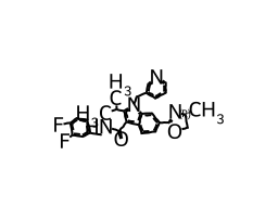 CC(C)c1c(C(=O)NCc2ccc(F)c(F)c2)c2ccc(C3=N[C@H](C)CO3)cc2n1Cc1cccnc1